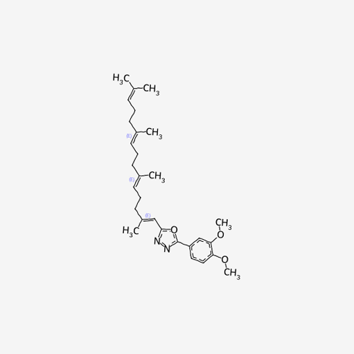 COc1ccc(-c2nnc(/C=C(\C)CC/C=C(\C)CC/C=C(\C)CCC=C(C)C)o2)cc1OC